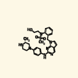 C[C@@H]1CN(c2ccc(Nc3ncc4ccn(Cc5ccccc5N(CCO)S(C)(=O)=O)c4n3)cc2)CCN1